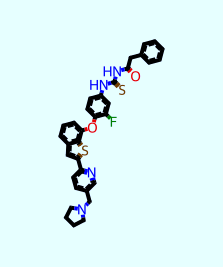 O=C(Cc1ccccc1)NC(=S)Nc1ccc(Oc2cccc3cc(-c4ccc(CN5CCCC5)cn4)sc23)c(F)c1